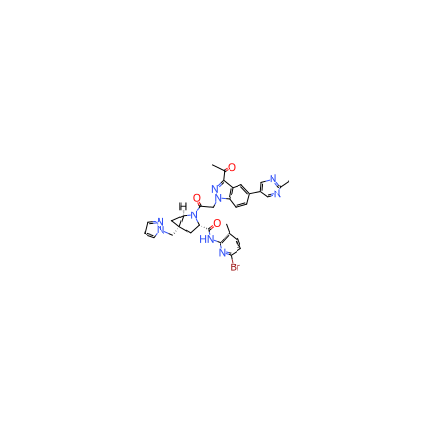 CC(=O)c1nn(CC(=O)N2[C@H](C(=O)Nc3nc(Br)ccc3C)C[C@@]3(Cn4cccn4)C[C@@H]23)c2ccc(-c3cnc(C)nc3)cc12